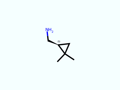 CC1(C)C[C@@H]1CN